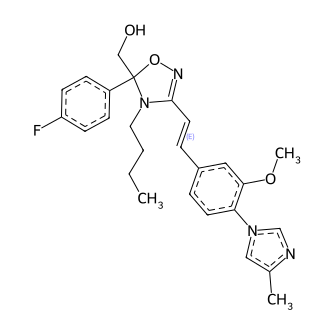 CCCCN1C(/C=C/c2ccc(-n3cnc(C)c3)c(OC)c2)=NOC1(CO)c1ccc(F)cc1